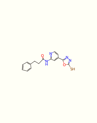 O=C(CCc1ccccc1)Nc1cc(-c2nnc(S)o2)ccn1